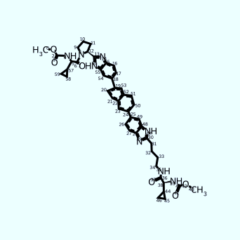 COC(=O)NC(C(=O)N1CCC[C@H]1c1nc2ccc(-c3ccc4cc(-c5ccc6nc(CCCCNC(=O)[C@@H](NC(=O)OC)C7CC7)[nH]c6c5)ccc4c3)cc2[nH]1)C1CC1